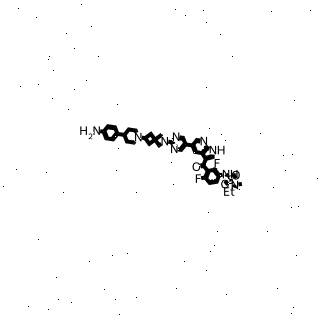 CCN(C)S(=O)(=O)Nc1ccc(F)c(C(=O)c2c[nH]c3ncc(-c4cnc(N5CC6(CC(N7CCC(c8ccc(N)cc8)CC7)C6)C5)nc4)cc23)c1F